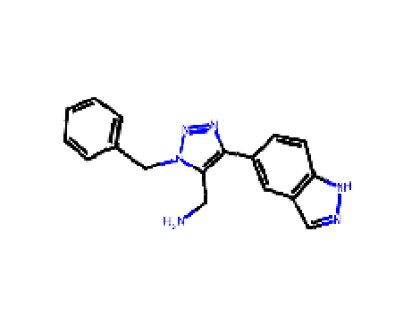 NCc1c(-c2ccc3[nH]ncc3c2)nnn1Cc1ccccc1